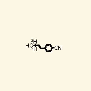 [2H]C([2H])(O)/C=C/c1ccc(C#N)cc1